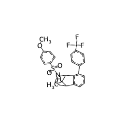 COc1ccc(S(=O)(=O)N2CCC3c4cccc(-c5ccc(C(F)(F)F)cc5)c4C2[C@H]3C)cc1